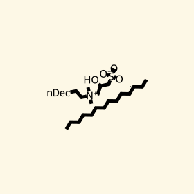 CCCCCCCCCCCC[N+](C)(C)CC(O)CS(=O)(=O)[O-].CC[CH]CCCCCCCCCCC